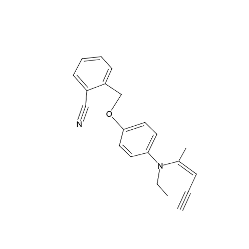 C#C/C=C(/C)N(CC)c1ccc(OCc2ccccc2C#N)cc1